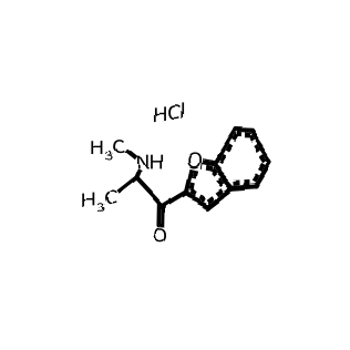 CNC(C)C(=O)c1cc2ccccc2o1.Cl